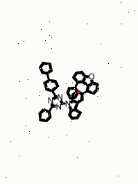 c1ccc(-c2ccc(-c3nc(-c4ccccc4)nc(-n4c5ccccc5c5cc(-c6cccc7oc8cccc(-c9ccccc9)c8c67)ccc54)n3)cc2)cc1